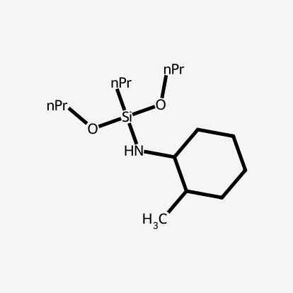 CCCO[Si](CCC)(NC1CCCCC1C)OCCC